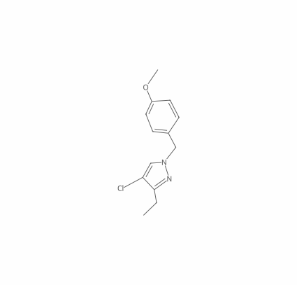 CCc1nn(Cc2ccc(OC)cc2)cc1Cl